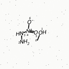 CO.NN[N+](=O)[O-]